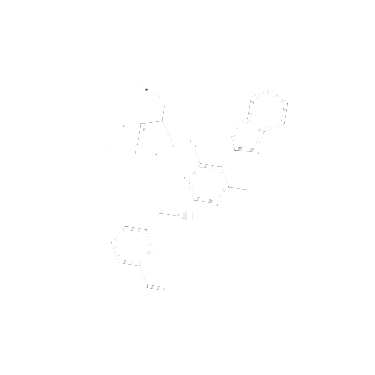 Cc1nc(NCc2cccc(C(=O)O)c2)nc(N[C@@H]2C[C@H](CO)[C@H]3OC(C)(C)OC23)c1-c1nc2ccccc2s1